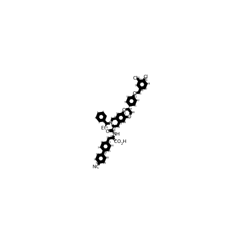 CC[C@@H](c1ccccc1)N1Cc2cc3c(cc2C[C@H]1C(=O)NC(Cc1ccc(-c2ccc(C#N)cc2)cc1)C(=O)O)OC[C@@H](c1ccc(OCc2ccc(Cl)c(Cl)c2)cc1)O3